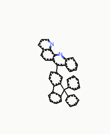 c1ccc(C2(c3ccccc3)c3ccccc3-c3ccc(-c4c5ccccc5nc5c4ccc4cccnc45)cc32)cc1